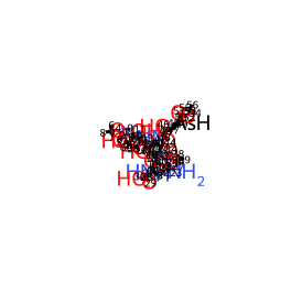 CN(C(=O)OC(C)(C)C)[C@@H]1[C@@H](O)[C@@H](O[C@@H]2[C@@H](O)[C@H](O[C@H]3O[C@H](CN)CC[C@H]3NC(=O)O)[C@@H](NC(=O)OC(C)(C)C)C[C@H]2NC(=O)[C@@H](O)CC[AsH]C(=O)OC(C)(C)C)OC[C@]1(C)O